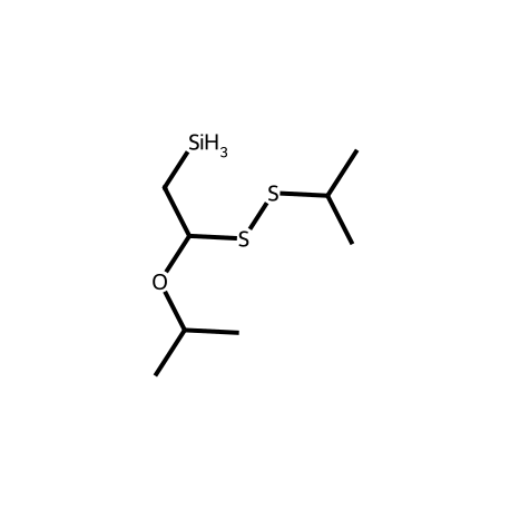 CC(C)OC(C[SiH3])SSC(C)C